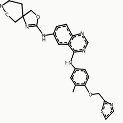 Cc1cc(Nc2ncnc3ccc(NC4=NC5(CCNCC5)CO4)cc23)ccc1OCc1nccs1